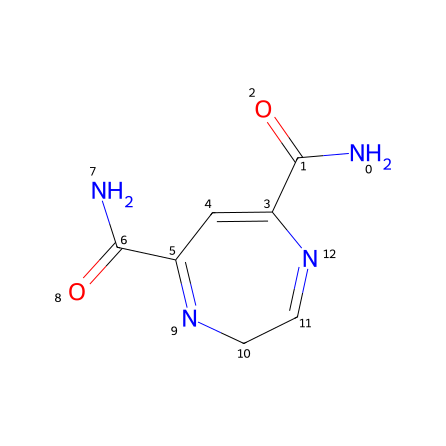 NC(=O)C1=CC(C(N)=O)=NCC=N1